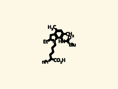 CCCC(CCCCN1c2c(c(C)cc(C)c2NC(=O)C(C)(C)C)CC1CC)C(=O)O